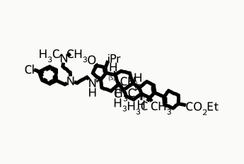 CCOC(=O)C1CC=C(C2=CC[C@]3(C)[C@H]4CC[C@@H]5C6=C(C(C)C)C(=O)C[C@]6(NCCN(CCN(C)C)Cc6ccc(Cl)cc6)CC[C@@]5(C)[C@]4(C)CC[C@H]3C2(C)C)CC1